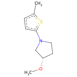 CO[C@H]1CCN(c2ccc(C)s2)C1